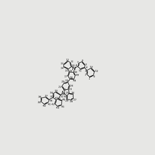 c1ccc(-c2cccc(-n3c4ccccc4c4cc(-c5ccc6c(c5)c5ccccc5n6-c5ccc(-c6ccccc6)c6ccccc56)ccc43)c2)cc1